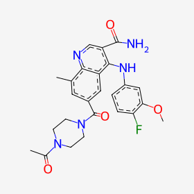 COc1cc(Nc2c(C(N)=O)cnc3c(C)cc(C(=O)N4CCN(C(C)=O)CC4)cc23)ccc1F